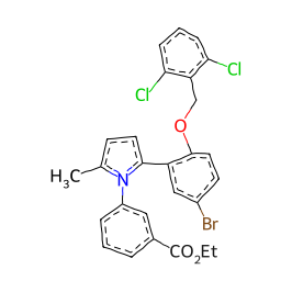 CCOC(=O)c1cccc(-n2c(C)ccc2-c2cc(Br)ccc2OCc2c(Cl)cccc2Cl)c1